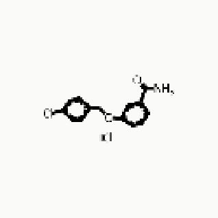 Cl.NC(=O)c1cccc(OCc2ccc(Cl)cc2)c1